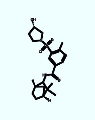 Cc1ccc(C(=O)NC2C(C)(C)[C@@H]3CC[C@@]2(C)C3)cc1S(=O)(=O)N1CC[C@H](O)C1